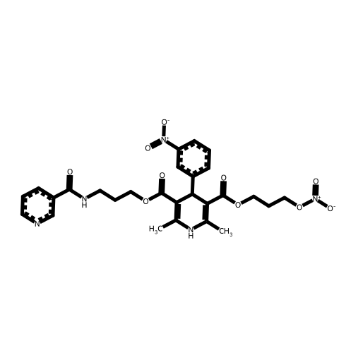 CC1=C(C(=O)OCCCNC(=O)c2cccnc2)C(c2cccc([N+](=O)[O-])c2)C(C(=O)OCCCO[N+](=O)[O-])=C(C)N1